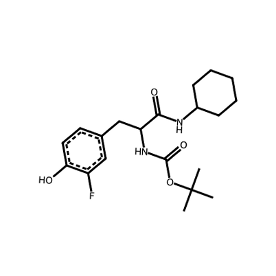 CC(C)(C)OC(=O)NC(Cc1ccc(O)c(F)c1)C(=O)NC1CCCCC1